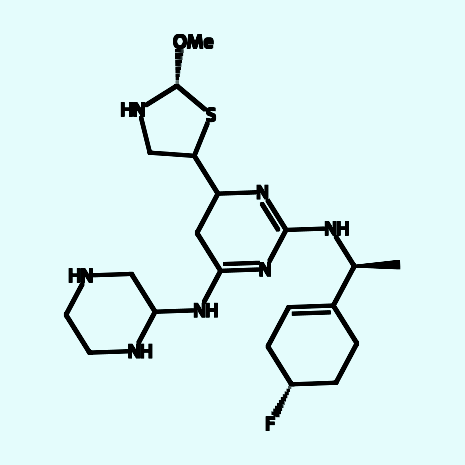 CO[C@H]1NCC(C2CC(NC3CNCCN3)=NC(N[C@@H](C)C3=CC[C@@H](F)CC3)=N2)S1